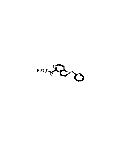 CCOC(=O)Nc1nccc2c1ccn2Cc1ccccc1